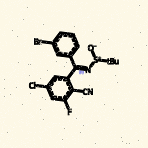 CC(C)(C)[S+]([O-])/N=C(\c1cccc(Br)c1)c1cc(Cl)cc(F)c1C#N